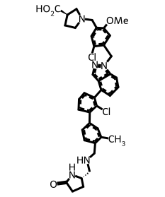 COc1cc(Cn2ncc3c(-c4cccc(-c5ccc(CNC[C@@H]6CCC(=O)N6)c(C)c5)c4Cl)cccc32)c(Cl)cc1CN1CC[C@@H](C(=O)O)C1